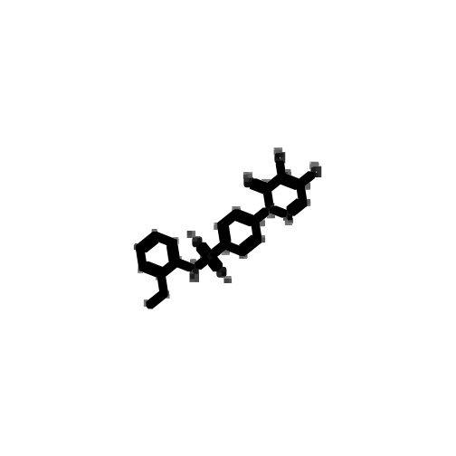 CCc1ccccc1NS(=O)(=O)c1ccc(-n2ncc(Cl)c(Cl)c2=O)cc1